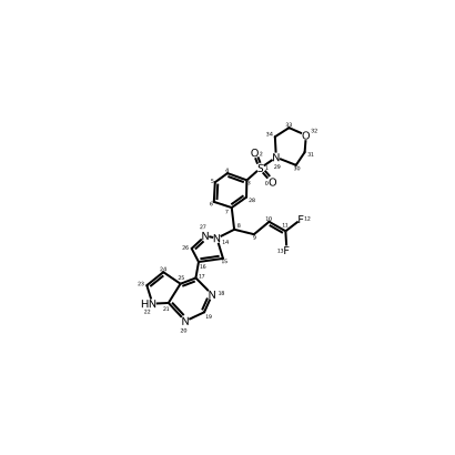 O=S(=O)(c1cccc(C(CC=C(F)F)n2cc(-c3ncnc4[nH]ccc34)cn2)c1)N1CCOCC1